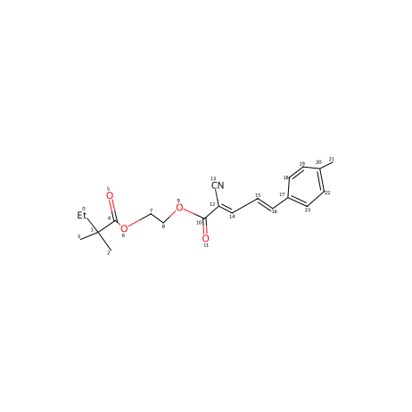 CCC(C)(C)C(=O)OCCOC(=O)/C(C#N)=C/C=C/c1ccc(C)cc1